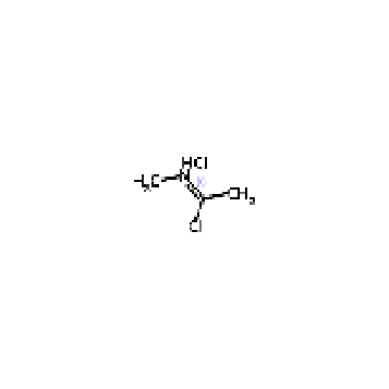 C/N=C(/C)Cl.Cl